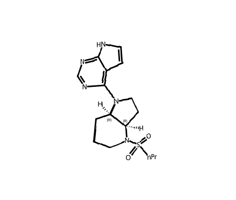 CCCS(=O)(=O)N1CCC[C@@H]2[C@H]1CCN2c1ncnc2[nH]ccc12